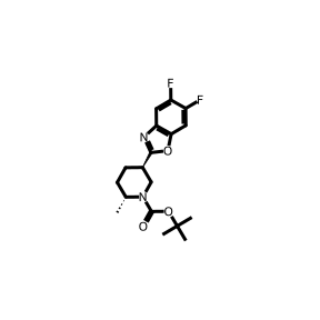 C[C@@H]1CC[C@@H](c2nc3cc(F)c(F)cc3o2)CN1C(=O)OC(C)(C)C